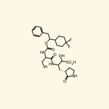 CC(C)CC(NC(=O)OC(Cc1ccccc1)C1CCC(F)(F)CC1)C(=O)NC(C[C@@H]1CCNC1=O)C(O)S(=O)(=O)O